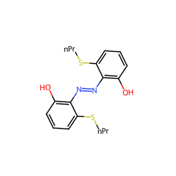 CCCSc1cccc(O)c1/N=N/c1c(O)cccc1SCCC